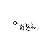 CC(C(=O)O)c1cccc2c1OC1CCC(NS(=O)(=O)CCc3ccccc3)C21